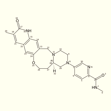 CNC(=O)c1ccc(N2CCN3Cc4cc5[nH]c(=O)c(C)cc5cc4OCC[C@@H]3C2)cn1